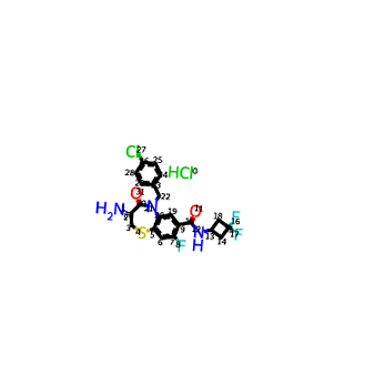 Cl.N[C@H]1CSc2cc(F)c(C(=O)NC3CC(F)(F)C3)cc2N(Cc2ccc(Cl)cc2)C1=O